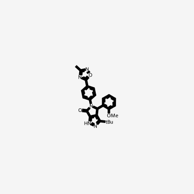 COc1ccccc1C1c2c(C(C)(C)C)n[nH]c2C(=O)N1c1ccc(-c2nc(C)no2)cc1